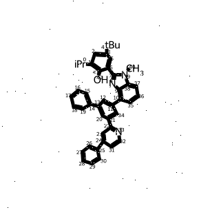 CC(C)c1cc(C(C)(C)C)cc(-c2nc3c(-c4cc(-c5ccccc5)cc(-c5cc(-c6ccccc6)ccn5)c4)cccc3n2C)c1O